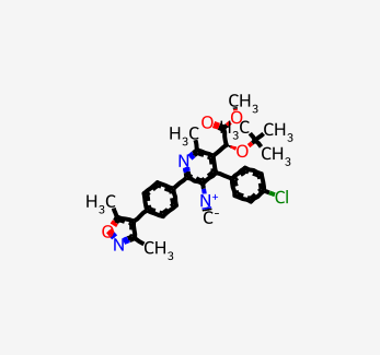 [C-]#[N+]c1c(-c2ccc(-c3c(C)noc3C)cc2)nc(C)c([C@H](OC(C)(C)C)C(=O)OC)c1-c1ccc(Cl)cc1